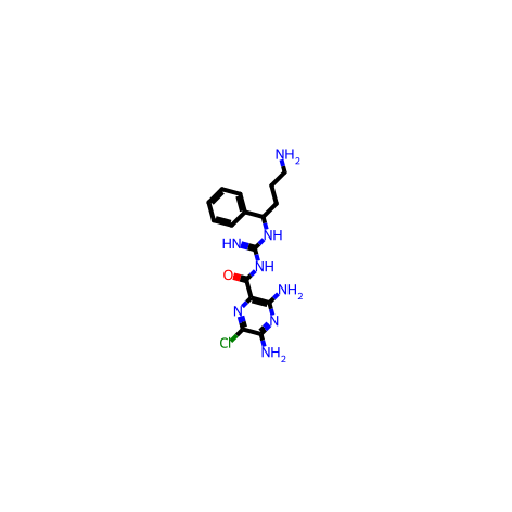 N=C(NC(=O)c1nc(Cl)c(N)nc1N)NC(CCCN)c1ccccc1